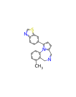 Cc1cccc2c1CN=Cc1ccc(-c3ccc4ncsc4c3)n1-2